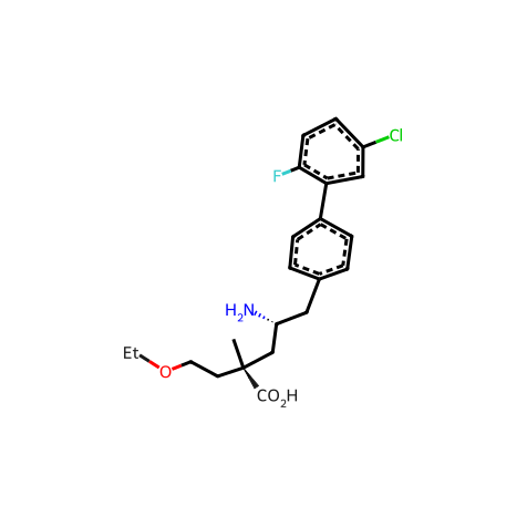 CCOCC[C@](C)(C[C@H](N)Cc1ccc(-c2cc(Cl)ccc2F)cc1)C(=O)O